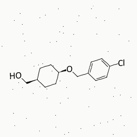 OC[C@H]1CC[C@@H](OCc2ccc(Cl)cc2)CC1